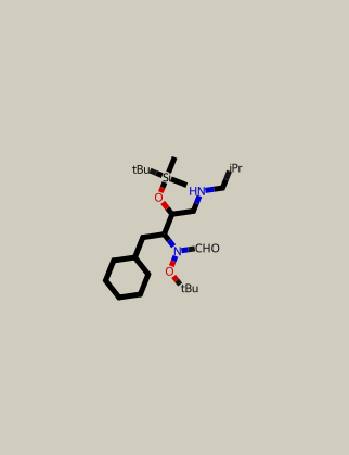 CC(C)CNCC(O[Si](C)(C)C(C)(C)C)C(CC1CCCCC1)N(C=O)OC(C)(C)C